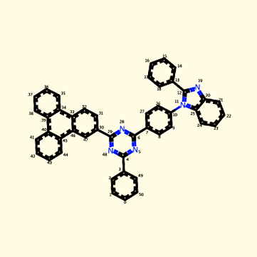 c1ccc(-c2nc(-c3ccc(-n4c(-c5ccccc5)nc5ccccc54)cc3)nc(-c3ccc4c5ccccc5c5ccccc5c4c3)n2)cc1